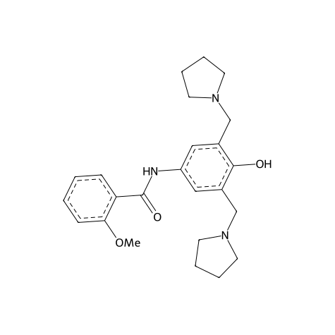 COc1ccccc1C(=O)Nc1cc(CN2CCCC2)c(O)c(CN2CCCC2)c1